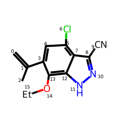 C=C(C)c1cc(Cl)c2c(C#N)n[nH]c2c1OCC